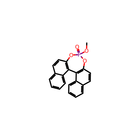 COP1(=O)Oc2ccc3ccccc3c2-c2c(ccc3ccccc23)O1